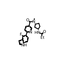 CCC(=O)N[C@H]1CC[C@@H](N(C)C(=O)c2ccc(-c3ccc4[nH]ccc4c3F)nc2)C1